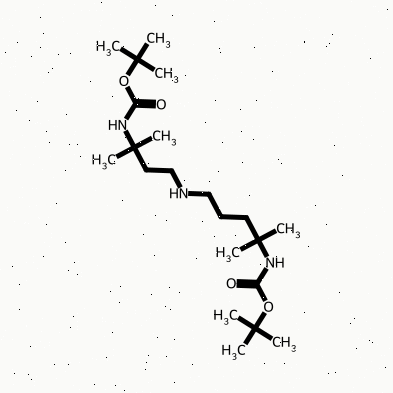 CC(C)(CCCNCCC(C)(C)NC(=O)OC(C)(C)C)NC(=O)OC(C)(C)C